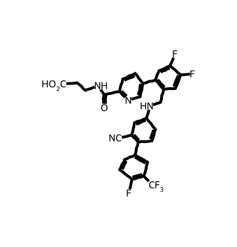 N#Cc1cc(NCc2cc(F)c(F)cc2-c2ccc(C(=O)NCCC(=O)O)nc2)ccc1-c1ccc(F)c(C(F)(F)F)c1